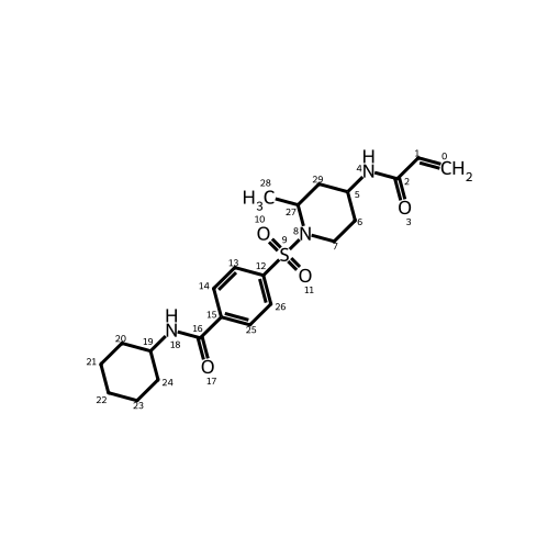 C=CC(=O)NC1CCN(S(=O)(=O)c2ccc(C(=O)NC3CCCCC3)cc2)C(C)C1